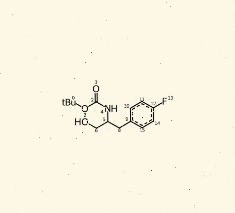 CC(C)(C)OC(=O)NC(CO)Cc1ccc(F)cc1